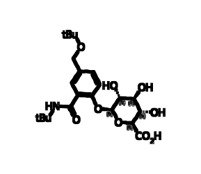 CC(C)(C)NC(=O)c1cc(COC(C)(C)C)ccc1O[C@@H]1O[C@H](C(=O)O)[C@@H](O)[C@H](O)[C@H]1O